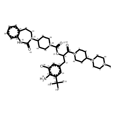 CN1CCN(C2CCN(C(=O)C(Cc3cc(Cl)c(N)c(C(F)(F)F)c3)OC(=O)N3CCC(N4CCc5ccccc5NC4=O)CC3)CC2)CC1